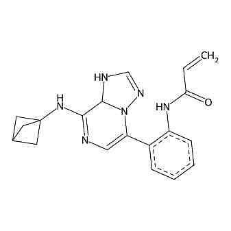 C=CC(=O)Nc1ccccc1C1=CN=C(NC23CC(C2)C3)C2NC=NN12